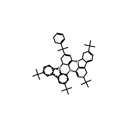 CC(C)(C)C1=CC=C2C3=C4C(=CC(C(C)(C)C)C3)B3C5=C(C=C(C(C)(C)C6=CC=CCC6)CC5n5c6ccc(C(C)(C)C)cc6c6cc(C(C)(C)C)cc3c65)N4C2C1